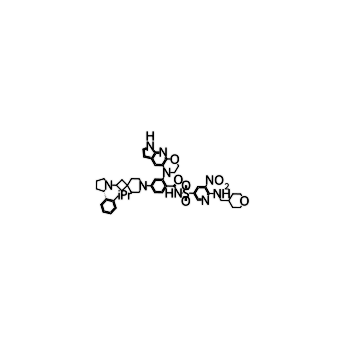 CC(C)c1ccccc1[C@@H]1CCCN1C1CC2(CCN(c3ccc(C(=O)NS(=O)(=O)c4cnc(NCC5CCOCC5)c([N+](=O)[O-])c4)c(N4CCOc5nc6[nH]ccc6cc54)c3)CC2)C1